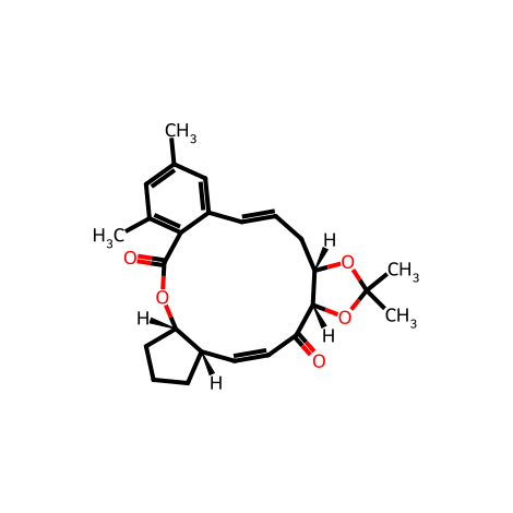 Cc1cc(C)c2c(c1)/C=C/C[C@@H]1OC(C)(C)O[C@@H]1C(=O)/C=C\[C@@H]1CCC[C@@H]1OC2=O